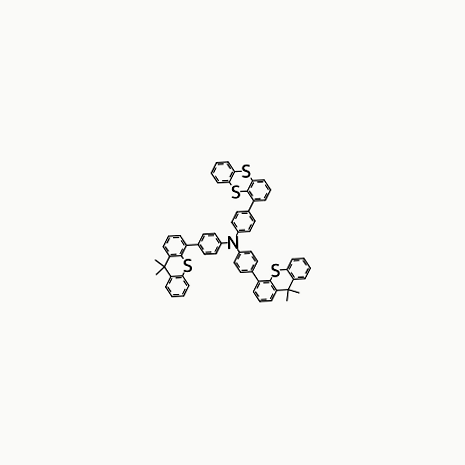 CC1(C)c2ccccc2Sc2c(-c3ccc(N(c4ccc(-c5cccc6c5Sc5ccccc5S6)cc4)c4ccc(-c5cccc6c5Sc5ccccc5C6(C)C)cc4)cc3)cccc21